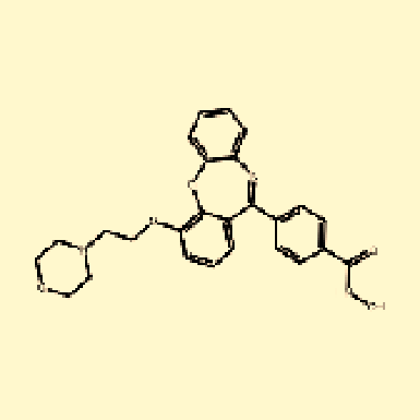 O=C(NO)c1ccc(C2=Nc3ccccc3Oc3c(OCCN4CCOCC4)cccc32)cc1